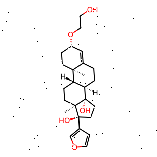 C[C@]12CC[C@H]3[C@@H](CCC4=C[C@@H](OCCO)CC[C@@]43C)[C@@]1(O)CC[C@]2(O)c1ccoc1